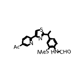 CSc1cc(C(C)c2nc(-c3ccc(C(C)=O)cn3)cs2)ccc1NC=O